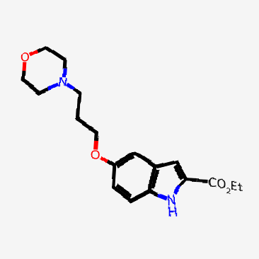 CCOC(=O)c1cc2cc(OCCCN3CCOCC3)ccc2[nH]1